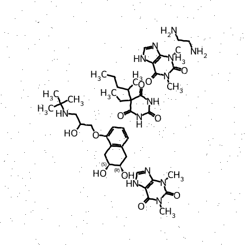 CC(C)(C)NCC(O)COc1cccc2c1C[C@H](O)[C@H](O)C2.CCCC(C)C1(CC)C(=O)NC(=O)NC1=O.Cn1c(=O)c2[nH]cnc2n(C)c1=O.Cn1c(=O)c2[nH]cnc2n(C)c1=O.NCCN